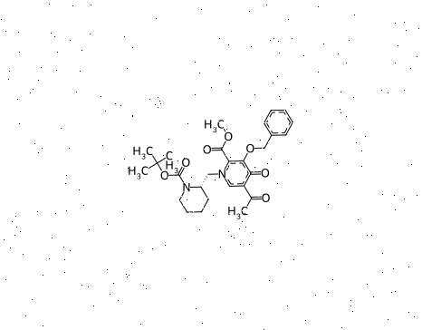 COC(=O)c1c(OCc2ccccc2)c(=O)c(C(C)=O)cn1C[C@@H]1CCCCN1C(=O)OC(C)(C)C